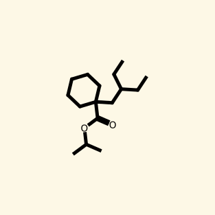 CCC(CC)CC1(C(=O)OC(C)C)CCCCC1